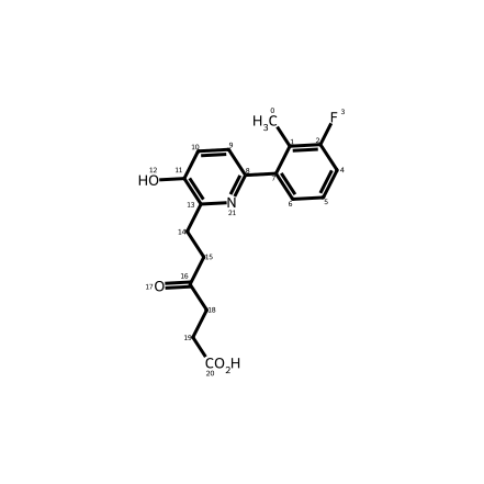 Cc1c(F)cccc1-c1ccc(O)c(CCC(=O)CCC(=O)O)n1